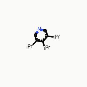 CC(C)c1cncc(C(C)C)c1C(C)C